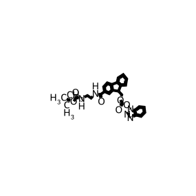 CC(C)(C)OC(=O)NCCNC(=O)c1ccc2c(c1)C(COC(=O)On1nnc3ccccc31)c1ccccc1-2